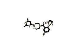 Cc1cc(N2CCN(C(=O)c3cc(F)ccc3-n3nccn3)CCO2)nc(C)n1